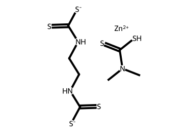 CN(C)C(=S)S.S=C([S-])NCCNC(=S)[S-].[Zn+2]